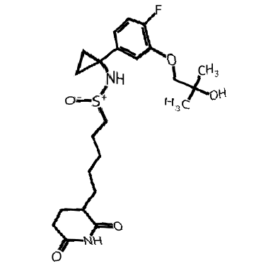 CC(C)(O)COc1cc(C2(N[S+]([O-])CCCCCC3CCC(=O)NC3=O)CC2)ccc1F